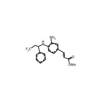 COC(=O)/C=C/c1ccc(NC(CC(F)(F)F)c2ccccc2)c([N+](=O)[O-])c1